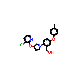 Cc1ccc(Oc2ccc(N3CC[C@H](Oc4ncccc4Cl)C3)c(CO)c2)cc1